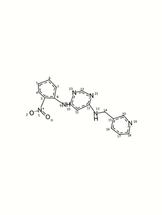 O=[N+]([O-])c1ccccc1Nc1cc(NCc2cccnc2)ncn1